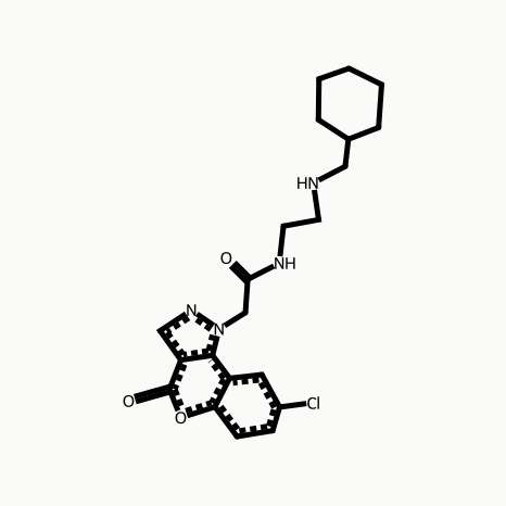 O=C(Cn1ncc2c(=O)oc3ccc(Cl)cc3c21)NCCNCC1CCCCC1